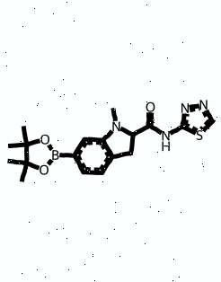 CN1c2cc(B3OC(C)(C)C(C)(C)O3)ccc2CC1C(=O)Nc1nncs1